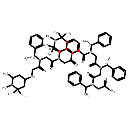 CC(c1ccccc1)N(CC(N)=O)C(=O)CN(C(=O)CN(C(=O)CN(C(=O)CN(C(=O)CN(C(=O)CNC1CC(C)N(O)C(C)(C)C1)[C@H](C)c1ccccc1)C(C)c1ccccc1)C1CC(C)(C)N(O)C(C)(C)C1)[C@H](C)c1ccccc1)[C@H](C)c1ccccc1